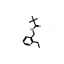 CCc1bcccc1CBC(=O)C(C)(C)C